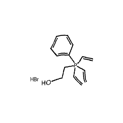 Br.C=CP(C=C)(C=C)(CCO)c1ccccc1